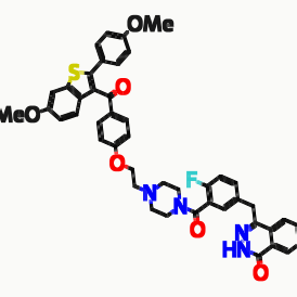 COc1ccc(-c2sc3cc(OC)ccc3c2C(=O)c2ccc(OCCN3CCN(C(=O)c4cc(Cc5n[nH]c(=O)c6ccccc56)ccc4F)CC3)cc2)cc1